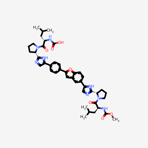 COC(=O)N[C@@H](CC(C)C)C(=O)N1CCC[C@H]1c1ncc(-c2ccc3oc(-c4ccc(-c5cnc([C@@H]6CCCN6C(=O)[C@H](CC(C)C)NC(=O)O)[nH]5)cc4)cc3c2)[nH]1